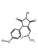 CCOc1ccc(N2C(=O)N(C(C)C)C(=O)/C2=C/N(C)C)cc1